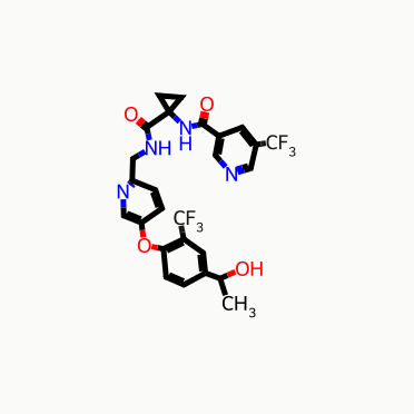 CC(O)c1ccc(Oc2ccc(CNC(=O)C3(NC(=O)c4cncc(C(F)(F)F)c4)CC3)nc2)c(C(F)(F)F)c1